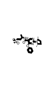 CC(/C=C/S(C)(=O)=O)NC(=O)c1cnc(N2[C@H](C)CC[C@@H]2C)nc1Oc1ccccc1